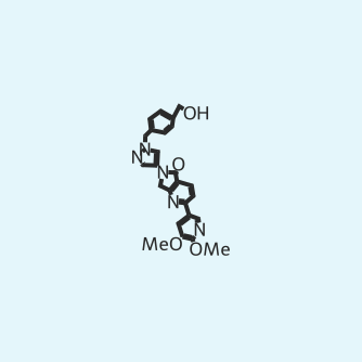 COc1cc(-c2ccc3c(n2)CN(c2cnn(Cc4ccc(CO)cc4)c2)C3=O)cnc1OC